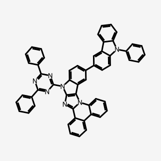 c1ccc(-c2nc(-c3ccccc3)nc(-n3c4ccc(-c5ccc6c(c5)c5ccccc5n6-c5ccccc5)cc4c4c3nc3c5ccccc5c5ccccc5n34)n2)cc1